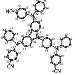 N#Cc1ccc(N(c2ccccc2)c2ccc(-n3c4ccc(N(c5ccccc5)c5ccc(C#N)cc5)cc4c4cc(N(c5ccccc5)c5ccc(C#N)cc5)ccc43)cc2)cc1